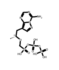 C[C@H](Cc1cnn2c(N)ncnc12)OCP(=O)(O)OP(=O)(O)OP(=O)(O)O